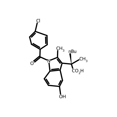 CCCC[C@@](C)(C(=O)O)c1c(C)n(C(=O)c2ccc(Cl)cc2)c2ccc(O)cc12